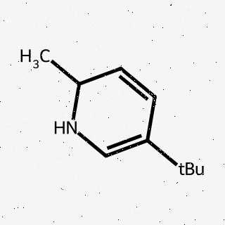 CC1C=CC(C(C)(C)C)=CN1